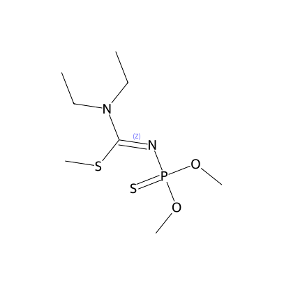 CCN(CC)/C(=N/P(=S)(OC)OC)SC